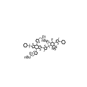 CCCCC(CC)Cc1ccc(-c2c3cc(C(C)(C)c4ccccc4)sc3c(-c3ccc(CC(CC)CCCC)s3)c3cc(-c4sc(C(C)(C)c5c(Cl)c(F)c(-c6cc(C)c(-c7ccccc7)s6)c6nsnc56)cc4C)sc23)s1